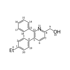 CCc1ccc(-c2ccc(CO)nc2-c2ccccc2)cc1